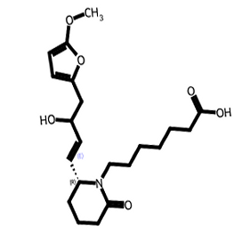 COc1ccc(CC(O)/C=C/[C@H]2CCCC(=O)N2CCCCCCC(=O)O)o1